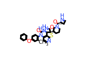 Cc1cc(Oc2ccccc2)ccc1N1C(=O)NC2c3c1ccnc3SC2(C(N)=O)[C@@H]1CCCN(C(=O)[C@@H]2CCN2)C1